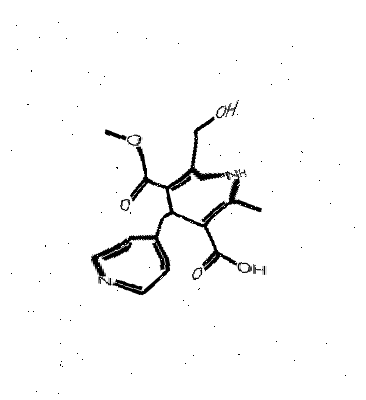 COC(=O)C1=C(CO)NC(C)=C(C(=O)O)C1c1ccncc1